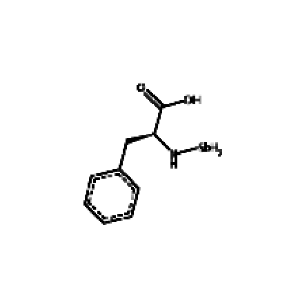 O=C(O)[C@H](Cc1ccccc1)[NH][SbH2]